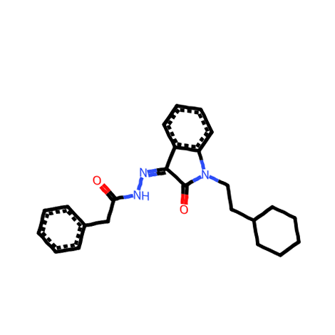 O=C(Cc1ccccc1)N/N=C1\C(=O)N(CCC2CCCCC2)c2ccccc21